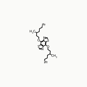 CC(C)CCCC(C)CCOc1c2ncsc2c(OCCC(C)CCCC(C)C)c2ncsc12